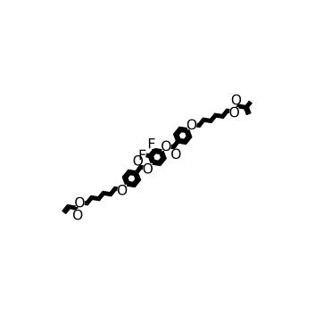 C=CC(=O)OCCCCCCOc1ccc(C(=O)Oc2ccc(OC(=O)c3ccc(OCCCCCCOC(=O)C(=C)C)cc3)c(F)c2F)cc1